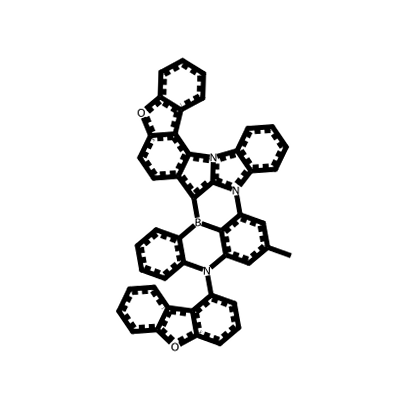 Cc1cc2c3c(c1)-n1c4ccccc4n4c5c(ccc6oc7ccccc7c65)c(c14)B3c1ccccc1N2c1cccc2oc3ccccc3c12